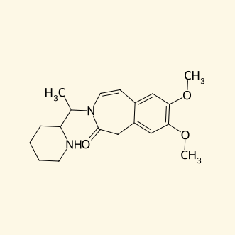 COc1cc2c(cc1OC)CC(=O)N(C(C)C1CCCCN1)C=C2